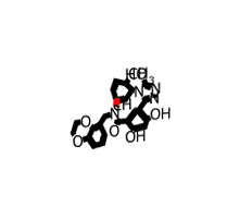 CC1C=CC=CC1n1c(O)nnc1-c1cc(C(=O)N(C)Cc2cccc3c2OCCO3)c(O)cc1O